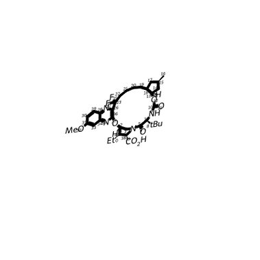 CC[C@@H]1[C@@H]2CN(C(=O)[C@H](C(C)(C)C)NC(=O)O[C@@H]3C[C@H](C)CC3CCCCC(F)(F)c3nc4ccc(OC)cc4nc3O2)[C@@H]1C(=O)O